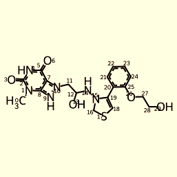 Cn1c(=O)[nH]c(=O)c2c1[nH]n2CC(O)NN1CSC=C1c1ccccc1OCCO